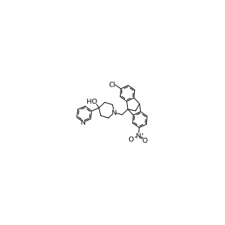 O=[N+]([O-])c1ccc2c(c1)C1(CN3CCC(O)(c4cccnc4)CC3)CC2c2ccc(Cl)cc21